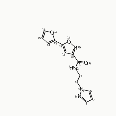 O=C(NCCn1cccn1)c1cc(-c2ccco2)on1